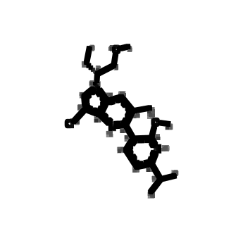 CC[C@H](COC)n1cc(Cl)c2nc(-c3ccc(C(C)C)nc3OC)c(C)cc21